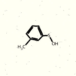 Cc1cccc(SO)c1